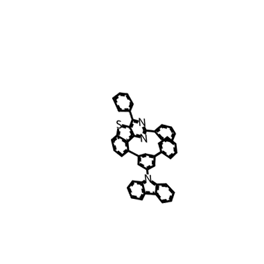 c1ccc(-c2cc(-c3cccc4sc5c(-c6ccccc6)nc(-c6ccccc6)nc5c34)cc(-n3c4ccccc4c4ccccc43)c2)cc1